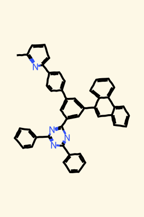 Cc1cccc(-c2ccc(-c3cc(-c4nc(-c5ccccc5)nc(-c5ccccc5)n4)cc(-c4cc5ccccc5c5ccccc45)c3)cc2)n1